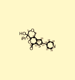 CC(C)C1(O)COCc2c1oc(=O)c1sc(-c3ccncc3)cc21